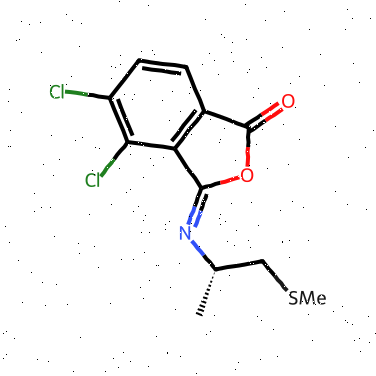 CSC[C@H](C)N=C1OC(=O)c2ccc(Cl)c(Cl)c21